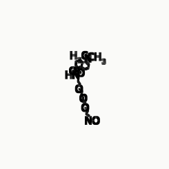 CN(C)c1cccc2c(S(=O)(=O)NCCCOCCOCCOCCCN=O)cccc12